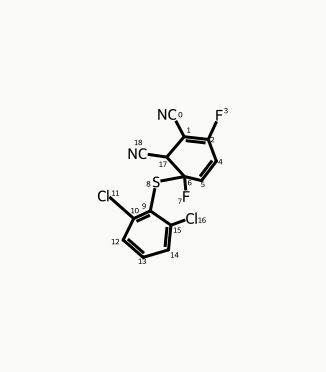 N#CC1=C(F)C=CC(F)(Sc2c(Cl)cccc2Cl)C1C#N